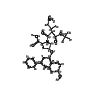 COC(=O)C1CC(Oc2cc(-c3ccccc3)nc3cc(OC)ccc23)CN1C(=O)C(C(=O)OC(C)(C)C)C(C)CN